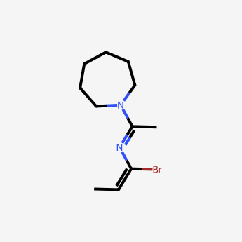 C/C=C(Br)\N=C(/C)N1CCCCCC1